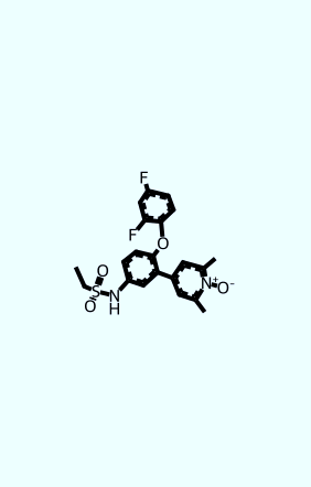 CCS(=O)(=O)Nc1ccc(Oc2ccc(F)cc2F)c(-c2cc(C)[n+]([O-])c(C)c2)c1